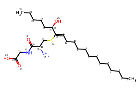 CCCCCCCCCCCCC=C(SC[C@H](N)C(=O)NCC(=O)O)[C@H](O)CCCCC